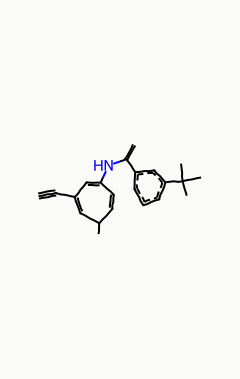 C#CC1=CC(C)C=CC(NC(=C)c2cccc(C(C)(C)C)c2)=C1